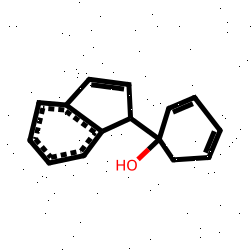 OC1(C2C=Cc3ccccc32)C=CC=CC1